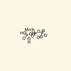 O=P(O)(O)O.O=P([O-])([O-])OP(=O)([O-])[O-].[Mn+4]